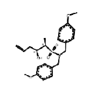 C=CC[C@H](O)[C@@H](C)S(=O)(=O)N(Cc1ccc(OC)cc1)Cc1ccc(OC)cc1